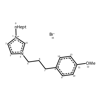 CCCCCCC[n+]1ccn(CCCc2ccc(OC)cc2)c1.[Br-]